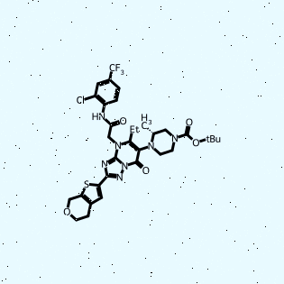 CCc1c(N2CCN(C(=O)OC(C)(C)C)C[C@H]2C)c(=O)n2nc(-c3cc4c(s3)COCC4)nc2n1CC(=O)Nc1ccc(C(F)(F)F)cc1Cl